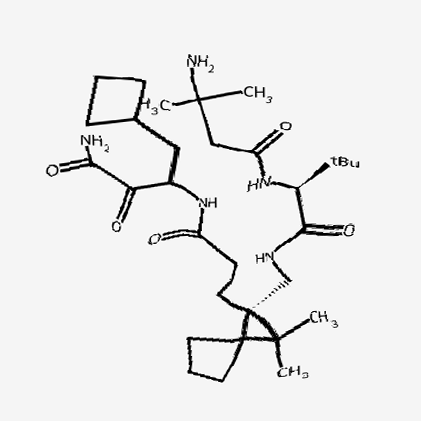 CC(C)(N)CC(=O)N[C@H](C(=O)NC[C@]1(CCC(=O)NC(CC2CCC2)C(=O)C(N)=O)C(C)(C)C12CCC2)C(C)(C)C